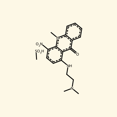 CN(C)CCNc1ccc([N+](=O)[O-])c2c1c(=O)c1ccccc1n2C.CS(=O)(=O)O